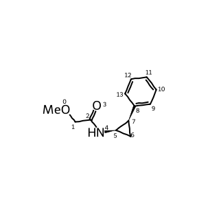 COCC(=O)N[C@@H]1C[C@@H]1c1ccccc1